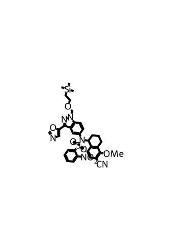 COc1c(C#N)ccc2c1CCCC2N(c1ccc2c(c1)c(-c1cnco1)nn2COCC[Si](C)(C)C)S(=O)(=O)c1ccccc1[N+](=O)[O-]